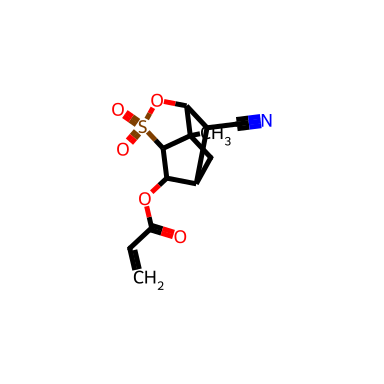 C=CC(=O)OC1C2CC3(C)C(OS(=O)(=O)C13)C2C#N